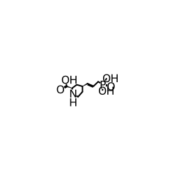 O=C(O)[C@H]1C[C@@H](C=CCP(=O)(O)O)CCN1